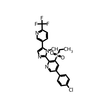 CCS(=O)(=O)c1cc(-c2ccc(Cl)cc2)cnc1-c1ncc(-c2ccc(C(F)(F)F)nc2)n1C